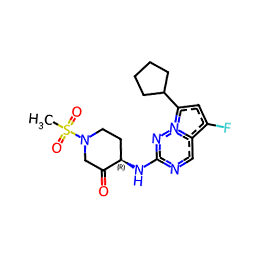 CS(=O)(=O)N1CC[C@@H](Nc2ncc3c(F)cc(C4CCCC4)n3n2)C(=O)C1